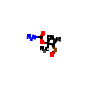 CCC(=S=O)C(C)(C)OC(N)=O